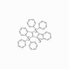 c1ccc(S2(c3ccccc3)C3=C(c4ccccc42)S(c2ccccc2)(c2ccccc2)c2c3sc3ccccc23)cc1